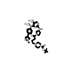 Cn1cc(-c2ccc(N(N)c3nc(N[C@@H]4CCN(C(=O)CCCN5CCN(C(=O)OC(C)(C)C)CC5)C4)ncc3N)cc2)cn1